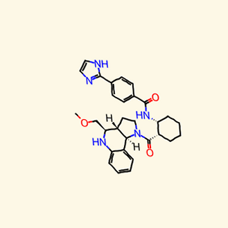 COC[C@@H]1Nc2ccccc2[C@H]2[C@H]1CCN2C(=O)[C@H]1CCCC[C@H]1NC(=O)c1ccc(-c2ncc[nH]2)cc1